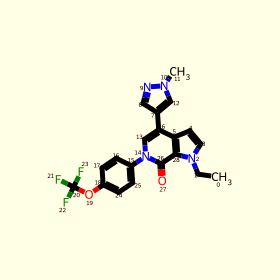 CCn1ccc2c(-c3cnn(C)c3)cn(-c3ccc(OC(F)(F)F)cc3)c(=O)c21